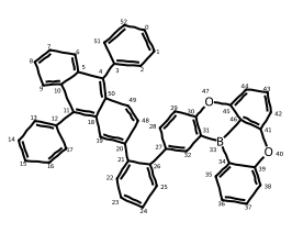 c1ccc(-c2c3ccccc3c(-c3ccccc3)c3cc(-c4ccccc4-c4ccc5c(c4)B4c6ccccc6Oc6cccc(c64)O5)ccc23)cc1